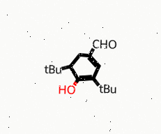 CC(C)(C)C1=C(O)C(C(C)(C)C)CC(C=O)=C1